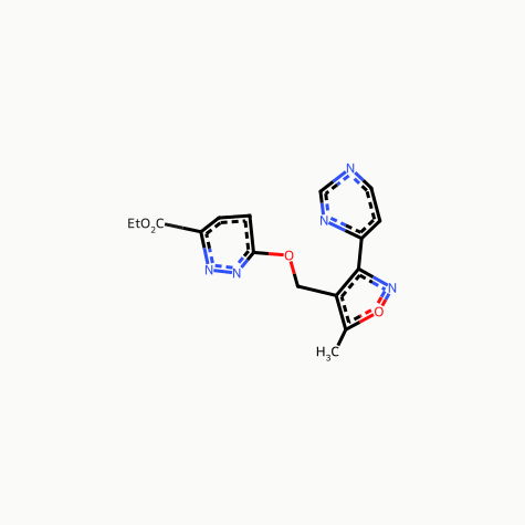 CCOC(=O)c1ccc(OCc2c(-c3ccncn3)noc2C)nn1